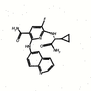 NC(=O)c1cc(F)c(N[C@@H](C(N)=O)C2CC2)nc1Nc1ccc2ncccc2c1